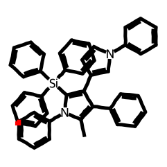 Cc1c(-c2ccccc2)c(-c2ccn(-c3ccccc3)c2)c([Si](c2ccccc2)(c2ccccc2)c2ccccc2)n1-c1ccccc1